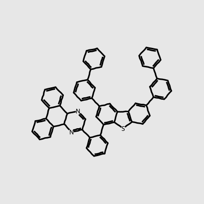 C1=NC2c3ccccc3-c3ccccc3C2N=C1c1ccccc1-c1cc(-c2cccc(-c3ccccc3)c2)cc2c1sc1ccc(-c3cccc(-c4ccccc4)c3)cc12